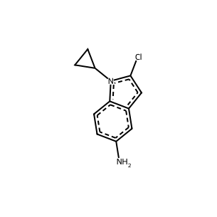 Nc1ccc2c(c1)cc(Cl)n2C1CC1